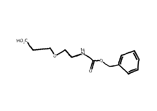 O=C(O)CCOCCNC(=O)OCc1ccccc1